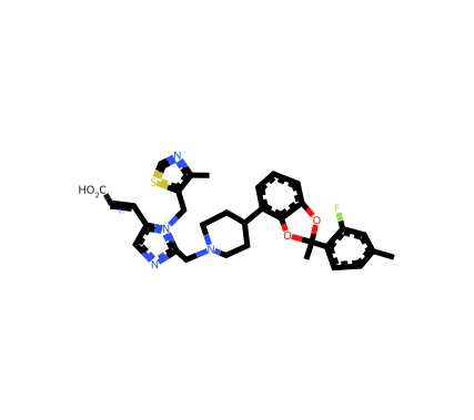 Cc1ccc(C2(C)Oc3cccc(C4CCN(Cc5ncc(/C=C/C(=O)O)n5Cc5scnc5C)CC4)c3O2)c(F)c1